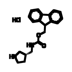 Cl.O=C(NC[C@@H]1CCNC1)OCC1c2ccccc2-c2ccccc21